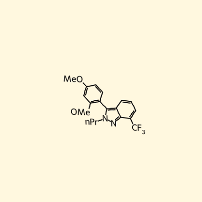 CCCn1nc2c(C(F)(F)F)cccc2c1-c1ccc(OC)cc1OC